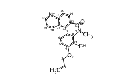 C=CCOc1cccc(N(C)C(=O)c2ccc3ncccc3c2)c1F